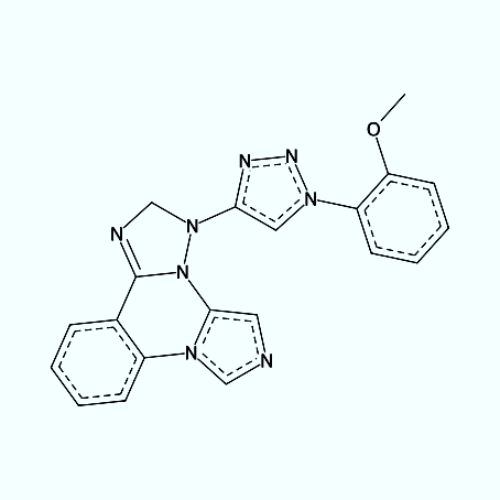 COc1ccccc1-n1cc(N2CN=C3c4ccccc4-n4cncc4N32)nn1